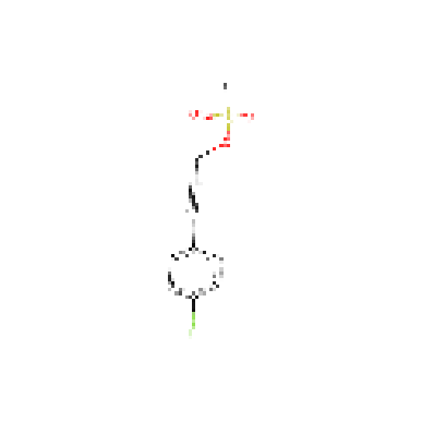 CS(=O)(=O)OCC#Cc1ccc(F)cc1